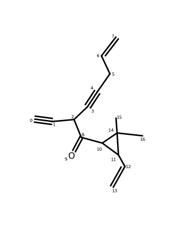 C#CC(C#CCC=C)C(=O)C1C(C=C)C1(C)C